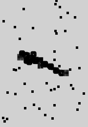 O=C1CCC(N2C(=O)c3ccc(NCCOCCOCCOCCO)cc3C2=O)C(=O)N1